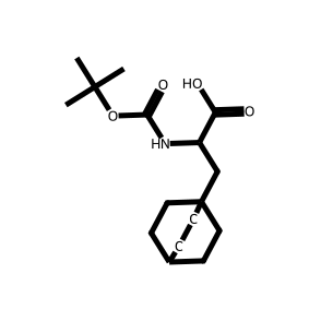 CC(C)(C)OC(=O)NC(CC12CCC(CC1)CC2)C(=O)O